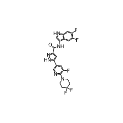 O=C(Nc1c[nH]c2cc(F)c(F)cc12)c1cc(-c2cnc(N3CCC(F)(F)CC3)c(F)c2)[nH]n1